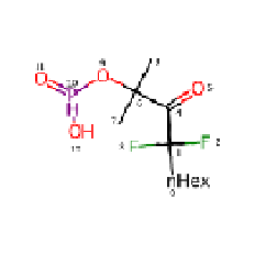 CCCCCCC(F)(F)C(=O)C(C)(C)O[PH](=O)O